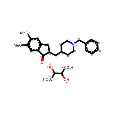 COc1cc2c(cc1OC)C(=O)C(CC1CCN(Cc3ccccc3)CC1)C2.O=C(O)C(O)C(O)C(=O)O